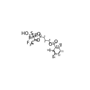 O=C(CCCOC(=O)c1c(I)ccc(I)c1I)OC(C(F)(F)F)C(F)(F)S(=O)(=O)O